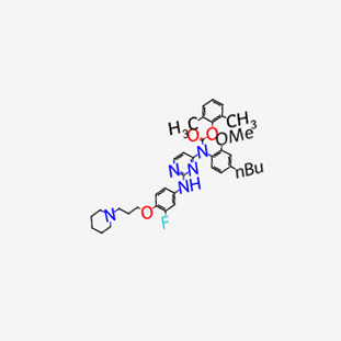 CCCCc1ccc(N(C(=O)Oc2c(C)cccc2C)c2ccnc(Nc3ccc(OCCCN4CCCCC4)c(F)c3)n2)c(OC)c1